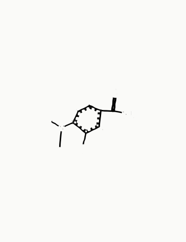 CN(C)c1ccc(C(N)=O)cc1F